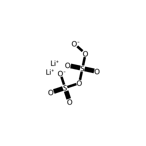 O=S(=O)([O-])OS(=O)(=O)O[O-].[Li+].[Li+]